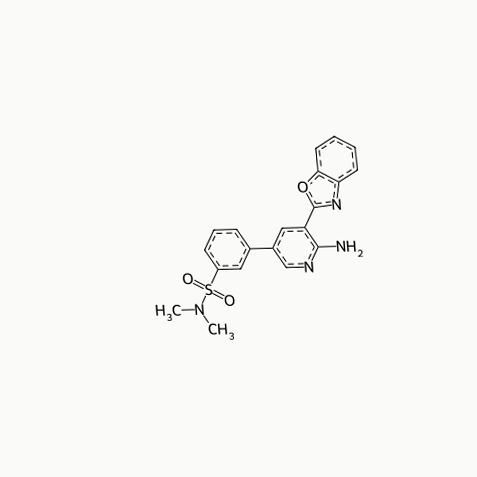 CN(C)S(=O)(=O)c1cccc(-c2cnc(N)c(-c3nc4ccccc4o3)c2)c1